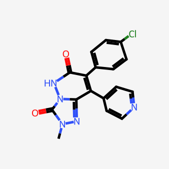 Cn1nc2c(-c3ccncc3)c(-c3ccc(Cl)cc3)c(=O)[nH]n2c1=O